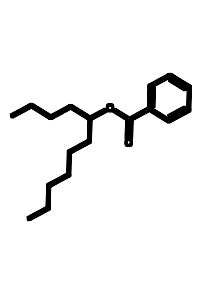 CCCCCCC(CCCC)OC(=O)c1ccccc1